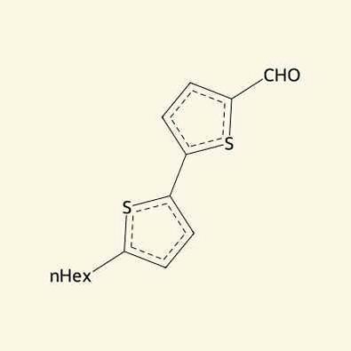 CCCCCCc1ccc(-c2ccc(C=O)s2)s1